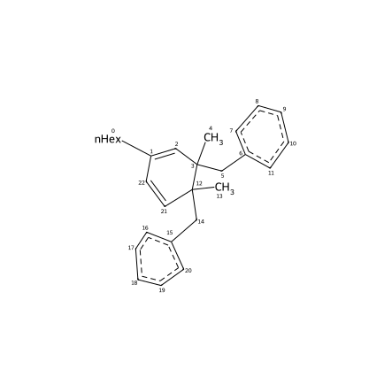 CCCCCCC1=CC(C)(Cc2ccccc2)C(C)(Cc2ccccc2)C=C1